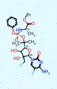 CC(C)OC(=O)[C@H](C)N[P@@](=O)(Oc1ccccc1)OC(C)(C)[C@H]1O[C@@H](n2cc(F)c(N)nc2=O)[C@@](O)(CF)C1O